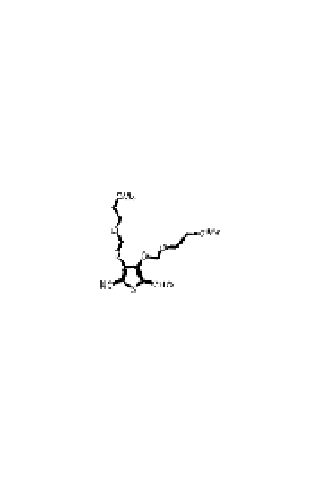 COCCOCOc1c(C#N)sc(C=O)c1OCOCCOC